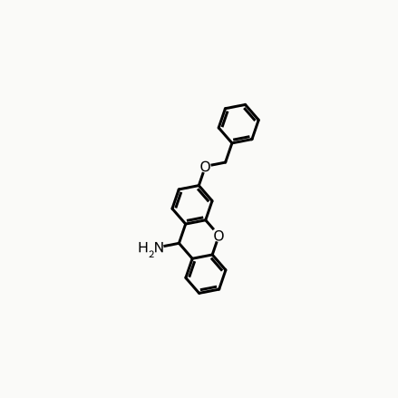 NC1c2ccccc2Oc2cc(OCc3ccccc3)ccc21